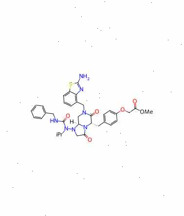 COC(=O)COc1ccc(C[C@H]2C(=O)N(Cc3cccc4sc(N)nc34)C[C@H]3N2C(=O)CN3N(C(=O)NCc2ccccc2)C(C)C)cc1